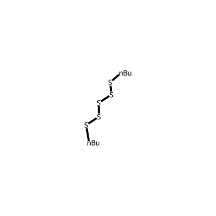 CCCCSSSSSCCCC